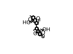 COc1ccc2c(=O)c3c(C)cc(-c4cc(F)c5c(=O)c6ccc(C)cc6n(CC(=O)O)c5c4)cc3n(CC(=O)O)c2c1